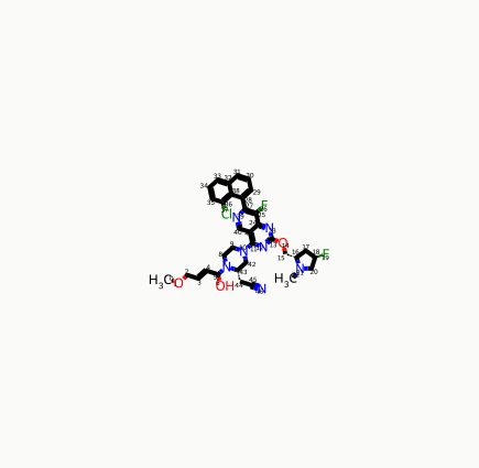 COC/C=C/C(O)N1CCN(c2nc(OC[C@@H]3C[C@@H](F)CN3C)nc3c(F)c(-c4cccc5cccc(Cl)c45)ncc23)C[C@@H]1CC#N